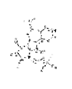 CC(C)=CCN1c2c(n(C)c(=O)n(C)c2=O)N(OC(=O)C(F)(F)F)C1N1CCNCC1